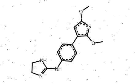 COc1cc(-c2ccc(NC3=NCCN3)cc2)c(OC)s1